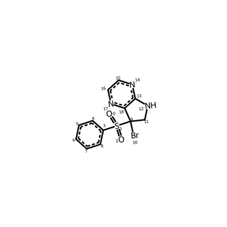 O=S(=O)(c1ccccc1)C1(Br)CNc2nccnc21